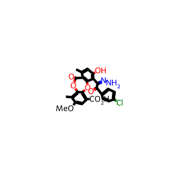 COc1cc(C(=O)O)c2c(c1C)OC(=O)c1c(C)cc(O)c(C(=NN)C(=O)c3ccc(Cl)cc3)c1O2